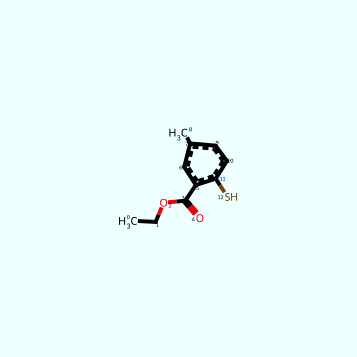 CCOC(=O)c1cc(C)ccc1S